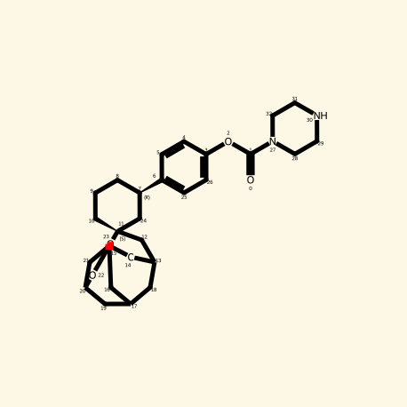 O=C(Oc1ccc([C@@H]2CCC[C@]3(CC4CC5CC(C4)CC(C5)OO3)C2)cc1)N1CCNCC1